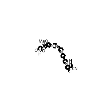 COc1cc(N2CCN(CC3CCN(c4ccc(C5CCN(c6ccc(Cl)c7c(C#N)c[nH]c67)CC5)cc4)CC3)CC2)cc2c1C(=O)N([C@H]1CCC(=O)NC1=O)C2